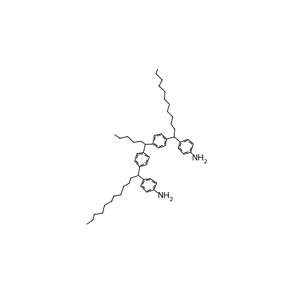 CCCCCCCCCCCC(c1ccc(N)cc1)c1ccc(C(CCCCC)c2ccc(C(CCCCCCCCCCC)c3ccc(N)cc3)cc2)cc1